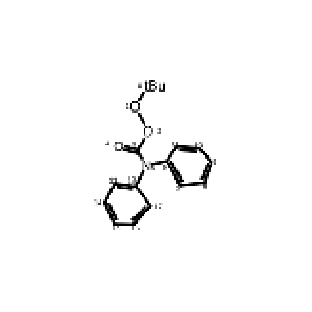 CC(C)(C)OOC(=O)N(c1ccccc1)c1ccccc1